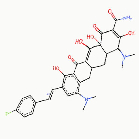 CN(C)c1cc(/C=C/c2ccc(F)cc2)c(O)c2c1CC1CC3C(N(C)C)C(O)=C(C(N)=O)C(=O)C3(O)C(O)=C1C2=O